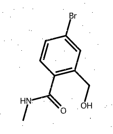 CNC(=O)c1ccc(Br)cc1CO